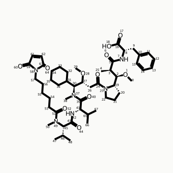 CO[C@H]([C@@H](C)C(=O)N[C@@H](Cc1ccccc1)C(=O)O)[C@@H]1CCCN1C(=O)C[C@@H](OC)[C@H](C1CCCCC1)N(C)C(=O)[C@@H](NC(=O)[C@H](C(C)C)N(C)C(=O)CCCCCN1C(=O)C=CC1=O)C(C)C